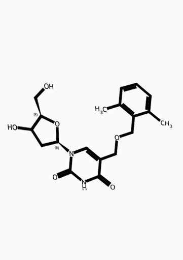 Cc1cccc(C)c1COCc1cn([C@H]2CC(O)[C@@H](CO)O2)c(=O)[nH]c1=O